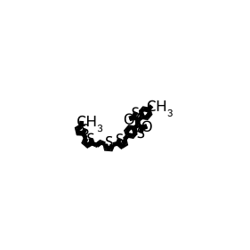 Cc1ccc2c(c1)SC(=O)/C2=C1/C(=O)Sc2cc(-c3ccc(-c4ccc(/C=C/c5ccc(-c6ccc(C)s6)s5)s4)s3)ccc21